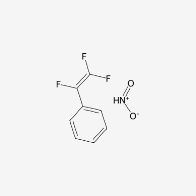 FC(F)=C(F)c1ccccc1.O=[NH+][O-]